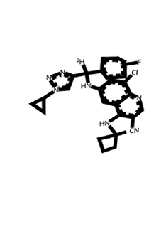 [2H]C(Nc1cc(Cl)c2ncc(C#N)c(NC3(C)CCC3)c2c1)(c1ccc(F)cc1)c1cn(C2CC2)nn1